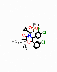 CC(C)(C)S(=O)(=O)C[C@H](C1CC1)N1C(=O)[C@](C)(CC(=O)O)O[C@H](c2cccc(Cl)c2)C1c1ccc(Cl)c(F)c1